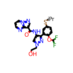 CC(C)Sc1ccc(OC(F)F)c(-c2nn(CCO)cc2NC(=O)c2cnn3cccnc23)c1